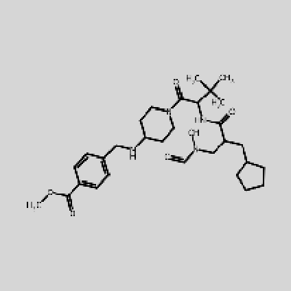 COC(=O)c1ccc(CNC2CCN(C(=O)C(NC(=O)C(CC3CCCC3)CN(O)C=O)C(C)(C)C)CC2)cc1